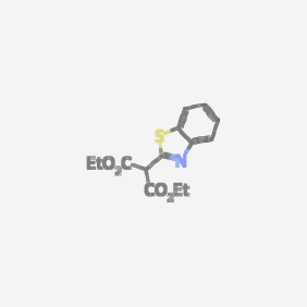 CCOC(=O)C(C(=O)OCC)c1nc2ccccc2s1